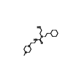 CN1CCN(CCNC(=O)N(CCO)CCC2CCCCC2)CC1